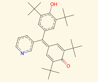 CC(C)(C)C1=CC(=C(c2cccnc2)c2cc(C(C)(C)C)c(O)c(C(C)(C)C)c2)C=C(C(C)(C)C)C1=O